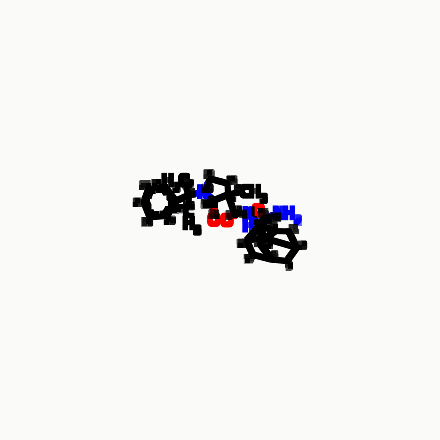 CC1(C(=O)NC2C3CC4CC(C3)C(C(N)=O)C2C4)CCN(C(C)(C)c2ccccc2)C1=O